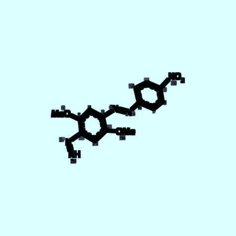 COc1cc(N=Nc2ccc([N+](=O)[O-])cc2)c(OC)cc1N=N